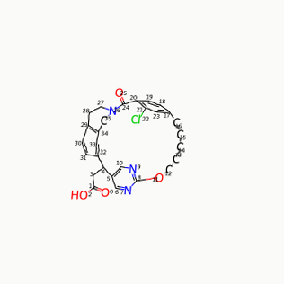 O=C(O)CC1c2cnc(nc2)OCCCCCc2ccc(c(Cl)c2)C(=O)N2CCc3ccc1cc3C2